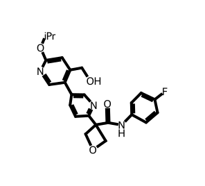 CC(C)Oc1cc(CO)c(-c2ccc(C3(C(=O)Nc4ccc(F)cc4)COC3)nc2)cn1